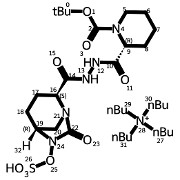 CC(C)(C)OC(=O)N1CCCC[C@@H]1C(=O)NNC(=O)[C@@H]1CC[C@@H]2CN1C(=O)N2OS(=O)(=O)O.CCCC[N+](CCCC)(CCCC)CCCC